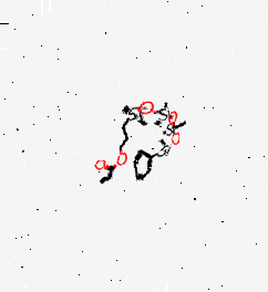 C=CC(=O)OCCC[Si](C)(C)O[Si](C)(C)O[Si](C)(C)O[Si](C)(C)c1ccccc1